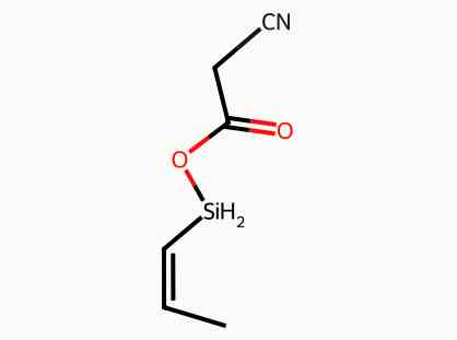 C/C=C\[SiH2]OC(=O)CC#N